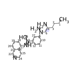 CCCC/C(N)=C/N(N)c1cccc(N(O)Nc2cccc3cnccc23)c1